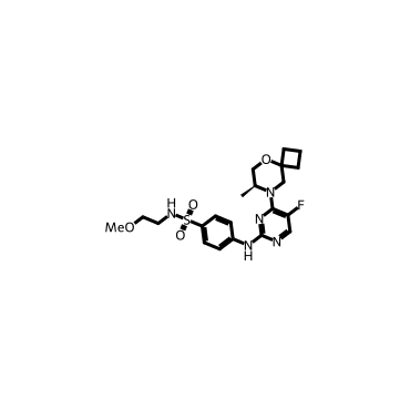 COCCNS(=O)(=O)c1ccc(Nc2ncc(F)c(N3CC4(CCC4)OC[C@@H]3C)n2)cc1